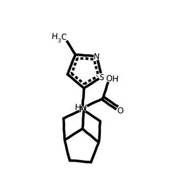 Cc1cc(N2CC3CCC(C2)C3NC(=O)O)sn1